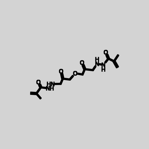 C=C(C)C(=O)NNCC(=O)COCC(=O)CNNC(=O)C(=C)C